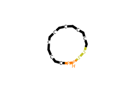 C1CCCCCCCSSPPCCCCCC1